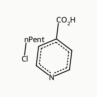 CCCCCCl.O=C(O)c1ccncc1